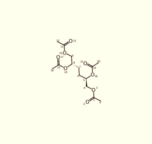 CC(=O)OC[C@@H](CC[C@@H](COC(C)=O)OC(C)=O)OC(C)=O